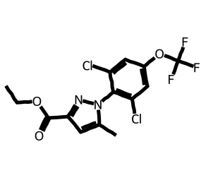 CCOC(=O)c1cc(C)n(-c2c(Cl)cc(OC(F)(F)F)cc2Cl)n1